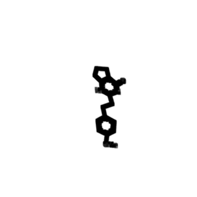 COc1ccc(CCc2nc(=O)c3c([nH]2)CCC3)cc1